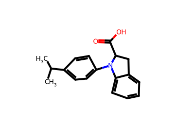 CC(C)c1ccc(N2c3ccccc3CC2C(=O)O)cc1